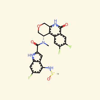 CN(C(=O)c1cc2c(N[S@+](C)[O-])cc(F)cc2[nH]1)[C@@H]1COCc2[nH]c(=O)c3cc(F)c(F)cc3c21